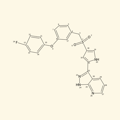 O=S(=O)(Cc1cccc(Oc2ccc(F)cc2)c1)c1c[nH]c(-c2n[nH]c3ncccc23)c1